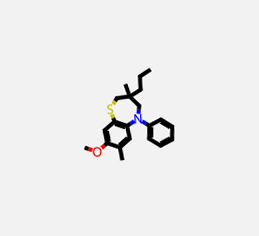 CCCC1(C)CSc2cc(OC)c(C)cc2N(c2ccccc2)C1